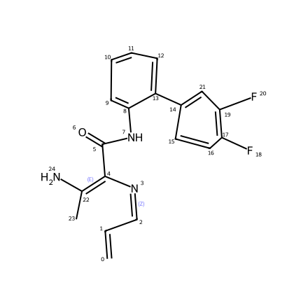 C=C/C=N\C(C(=O)Nc1ccccc1-c1ccc(F)c(F)c1)=C(/C)N